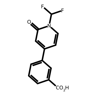 O=C(O)c1cccc(-c2ccn(C(F)F)c(=O)c2)c1